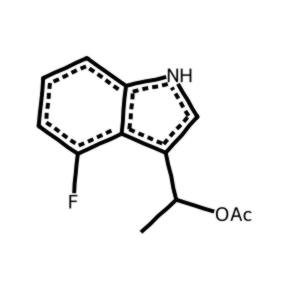 CC(=O)OC(C)c1c[nH]c2cccc(F)c12